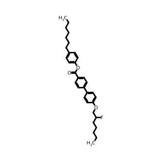 CCCCCCCc1ccc(OC(=O)c2ccc(-c3ccc(OCC(F)CCCCC)cc3)cc2)cc1